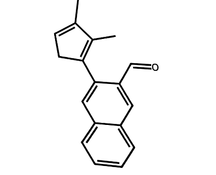 CC1=CCC(c2cc3ccccc3cc2C=O)=C1C